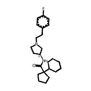 O=C(N[C@H]1CCN(CCc2ccc(F)cc2)C1)C1(C2CCCCC2)CCCC1